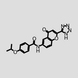 CC(C)Oc1ccc(C(=O)Nc2ccc3oc(-c4nnn[nH]4)cc(=O)c3c2)cc1